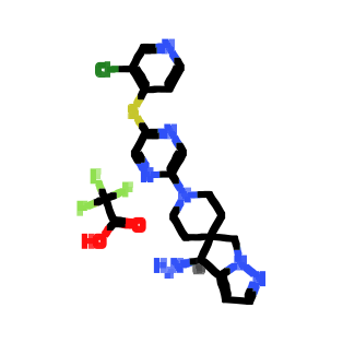 N[C@@H]1c2ccnn2CC12CCN(c1cnc(Sc3ccncc3Cl)cn1)CC2.O=C(O)C(F)(F)F